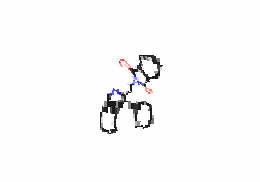 O=C1c2ccccc2C(=O)N1CCc1ncc2ccccc2c1-c1ccccc1